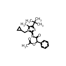 CC(=O)OC(C(=O)/N=c1\sc(C(C)(C)C)c(C)n1CC1CC1)c1ccccc1